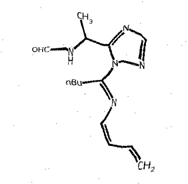 C=C/C=C\N=C(/CCCC)n1ncnc1C(C)NC=O